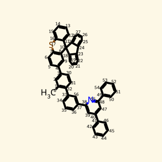 Cc1cc(-c2ccc3c(c2)C2(c4ccccc4S3)c3ccccc3-c3ccccc32)ccc1-c1cccc(-c2cc(-c3ccccc3)cc(-c3ccccc3)n2)c1